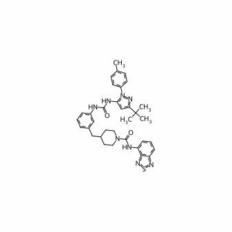 Cc1ccc(-n2nc(C(C)(C)C)cc2NC(=O)Nc2cccc(CC3CCN(C(=O)Nc4cccc5nsnc45)CC3)c2)cc1